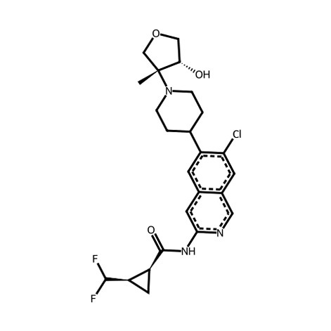 C[C@@]1(N2CCC(c3cc4cc(NC(=O)[C@H]5C[C@H]5C(F)F)ncc4cc3Cl)CC2)COC[C@@H]1O